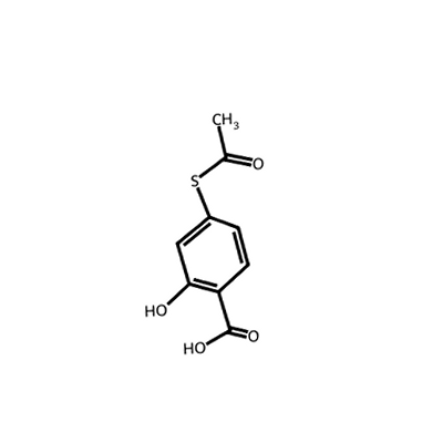 CC(=O)Sc1ccc(C(=O)O)c(O)c1